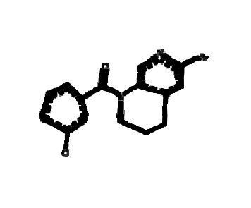 O=C(c1cccc(Cl)c1)N1CCCc2cc(Br)ncc21